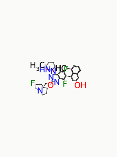 C#Cc1cccc2cc(O)cc(-c3c(F)cc4c(N5C[C@@]6(C)CC[C@H]5CN6)nc(OC[C@@]56CCCN5C[C@H](F)C6)nc4c3F)c12